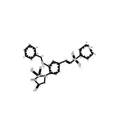 O=C1CN(c2ccc(/C=C/S(=O)(=O)c3ccccc3)cc2OCc2ccccc2)S(=O)(=O)N1